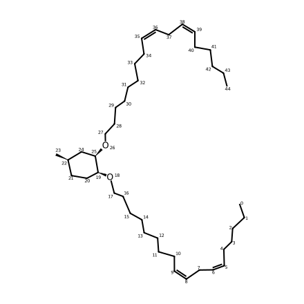 CCCCC/C=C\C/C=C\CCCCCCCCO[C@H]1CC[C@@H](C)C[C@H]1OCCCCCCCC/C=C\C/C=C\CCCCC